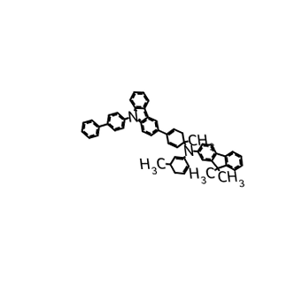 CC1C=C(N(c2ccc3c(c2)C(C)(C)c2ccccc2-3)C2(C)C=CC(c3ccc4c(c3)c3ccccc3n4-c3ccc(-c4ccccc4)cc3)=CC2)C=CC1